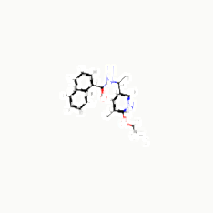 Cc1cc(C(C)NC(=O)c2cccc3ccccc23)cnc1OCC(F)(F)F